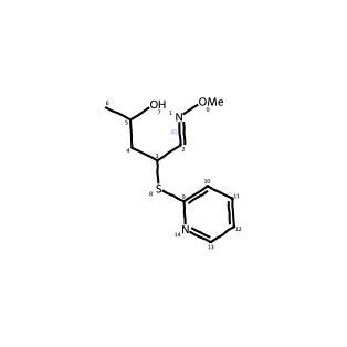 CO/N=C/C(CC(C)O)Sc1ccccn1